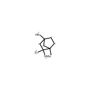 CCCCC12CCC(C)(C1)C(CC)(NC)C2